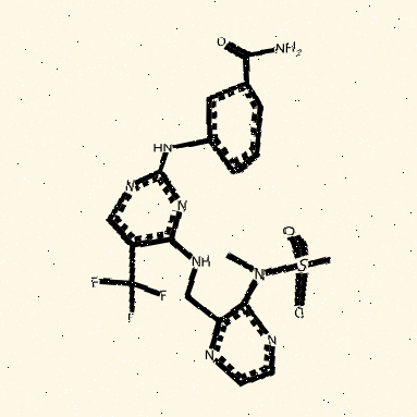 CN(c1nccnc1CNc1nc(Nc2cccc(C(N)=O)c2)ncc1C(F)(F)F)S(C)(=O)=O